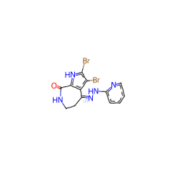 O=C1NCC/C(=N/Nc2ccccn2)c2c1[nH]c(Br)c2Br